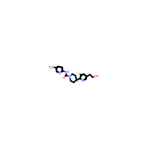 O=C(Nc1ccc(C(F)(F)F)cn1)N1CCC(F)(c2ncc(CCO)cc2F)CC1